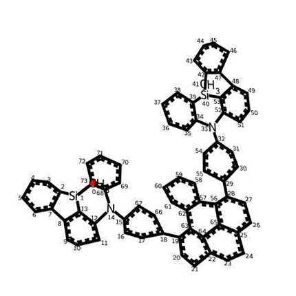 C[Si]12c3ccccc3-c3cccc(c31)N(c1ccc(-c3ccc4ccc5ccc(-c6ccc(N7c8ccccc8[Si]8(C)c9ccccc9-c9cccc7c98)cc6)c6c7ccccc7c3c4c56)cc1)c1ccccc12